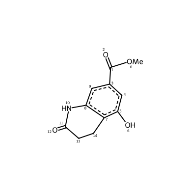 COC(=O)c1cc(O)c2c(c1)NC(=O)CC2